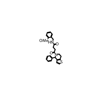 COc1ccccc1CNC(=O)CCC(=O)N1CCc2sccc2C1c1ccccc1